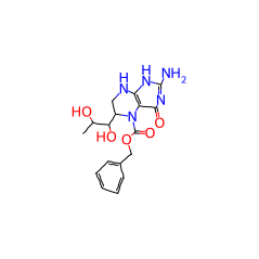 CC(O)C(O)C1CNc2[nH]c(N)nc(=O)c2N1C(=O)OCc1ccccc1